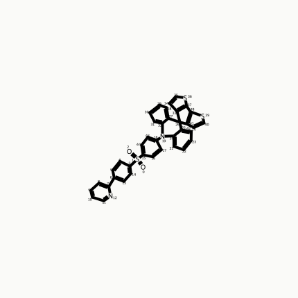 O=S(=O)(c1ccc(-c2ccccn2)cc1)c1ccc(N2c3ccccc3C3(c4ccccc42)c2ccsc2-c2sccc23)cc1